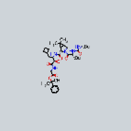 CC(C)(C)NC(=O)N[C@H](C(=O)N1CC2C([C@H]1C(=O)NC(CC1CCC1)C(=O)C(=O)NCC(=O)OC(C)(C)c1ccccc1)C2(C)C)C(C)(C)C